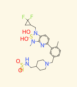 Cc1ccc(CN2CCC(CN[SH](=O)=O)CC2)cc1-c1ccc2c(n1)N(C)S(O)(O)N2CC1CC1(F)F